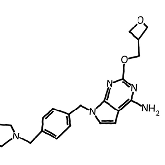 Nc1nc(OCC2COC2)nc2c1ccn2Cc1ccc(CN2CCCC2)cc1